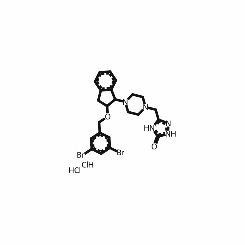 Cl.Cl.O=c1[nH]nc(CN2CCN(C3c4ccccc4CC3OCc3cc(Br)cc(Br)c3)CC2)[nH]1